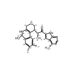 Cc1cccc2[nH]c(C(=O)N(C)[C@@H]3COCC4=C3c3cc(F)c(F)cc3C(O)N4)cc12